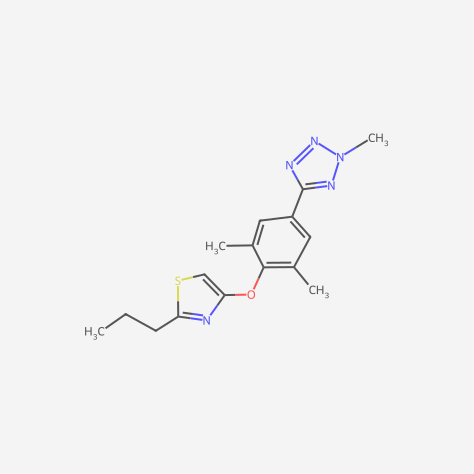 CCCc1nc(Oc2c(C)cc(-c3nnn(C)n3)cc2C)cs1